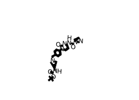 CC(C)(C)OC(=O)NC1C2CN(Cc3ccc(-n4ccc(NC(=O)n5ccnc5)nc4=O)cc3)CC21